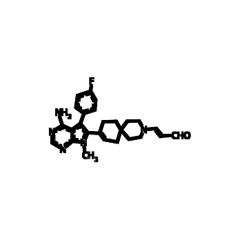 Cn1c(C2=CCC3(CC2)CCN(C=CC=O)CC3)c(-c2ccc(F)cc2)c2c(N)ncnc21